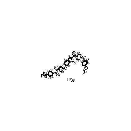 Br.CCCOc1ccc(CN2CCN(C(=O)c3cc4ccc(Oc5ccc(N(C)C(=O)c6ccc(C(F)(F)F)cc6)cn5)cc4n3C)CC2)cc1